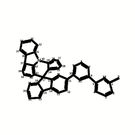 Cc1cccc(-c2cccc(-c3ccc4c(c3)C3(c5ccccc5-4)c4ccccc4-n4c5ccccc5c5cccc3c54)c2)c1